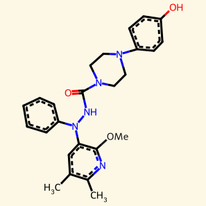 COc1nc(C)c(C)cc1N(NC(=O)N1CCN(c2ccc(O)cc2)CC1)c1ccccc1